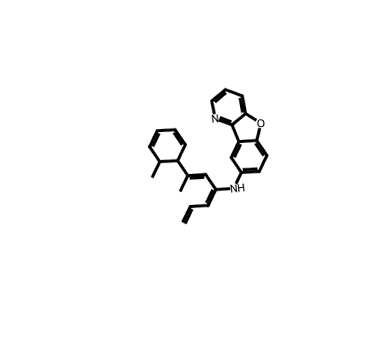 C=C/C=C(\C=C(/C)C1C=CC=CC1C)Nc1ccc2oc3cccnc3c2c1